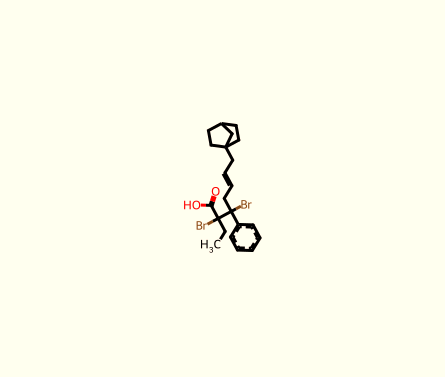 CCC(Br)(C(=O)O)C(Br)(CC=CCC12CCC(CC1)C2)c1ccccc1